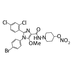 COc1c(C(=O)NN2CCC(O[N+](=O)[O-])CC2)nc(-c2ccc(Cl)cc2Cl)n1-c1ccc(Br)cc1